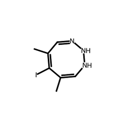 Cc1cn[nH][nH]cc(C)c1I